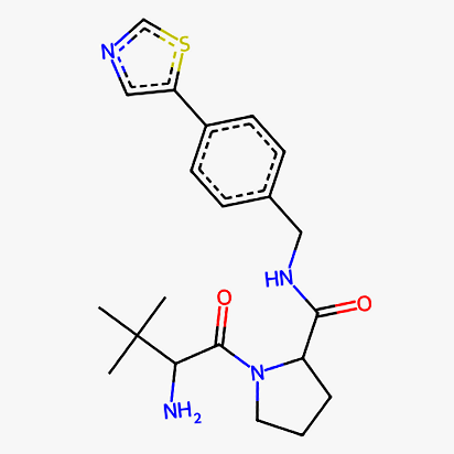 CC(C)(C)C(N)C(=O)N1CCCC1C(=O)NCc1ccc(-c2cncs2)cc1